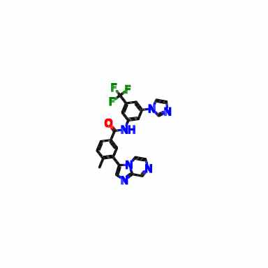 Cc1ccc(C(=O)Nc2cc(-n3ccnc3)cc(C(F)(F)F)c2)cc1-c1cnc2cnccn12